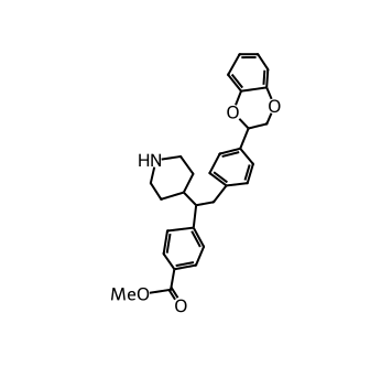 COC(=O)c1ccc(C(Cc2ccc(C3COc4ccccc4O3)cc2)C2CCNCC2)cc1